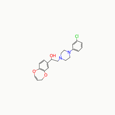 OC(CN1CCN(c2cccc(Cl)c2)CC1)c1ccc2c(c1)OCC=CO2